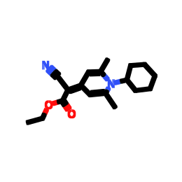 CCOC(=O)C(C#N)=C1C=C(C)N(C2CCCCC2)C(C)=C1